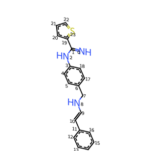 N=C(Nc1ccc(CNC=Cc2ccccc2)cc1)c1cccs1